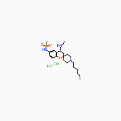 CCCCCCN1CCC2(CC1)CC(NCC)c1cc(NS(C)(=O)=O)ccc1O2.Cl.Cl